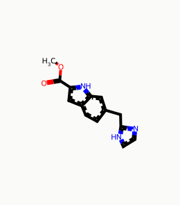 COC(=O)c1cc2ccc(Cc3ncc[nH]3)cc2[nH]1